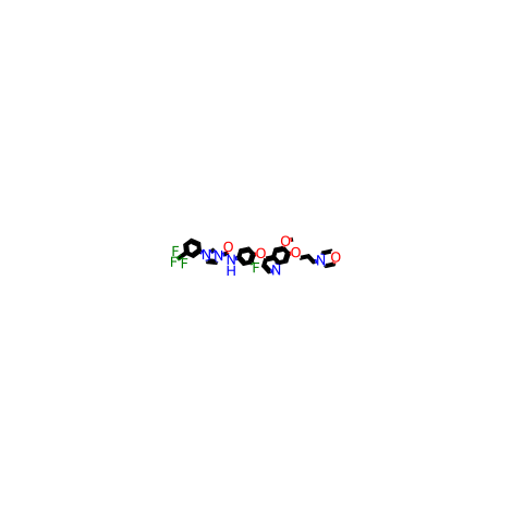 COc1cc2c(Oc3ccc(NC(=O)N4C=CN(c5cccc(C(F)(F)F)c5)C4)cc3F)ccnc2cc1OCCCN1CCOCC1